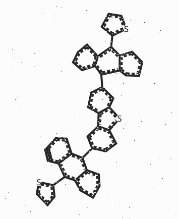 c1ccc2c(-c3ccc4sc5cc(-c6c7ccccc7c(-c7cccs7)c7ccccc67)ccc5c4c3)c3ccccc3c(-c3cccs3)c2c#1